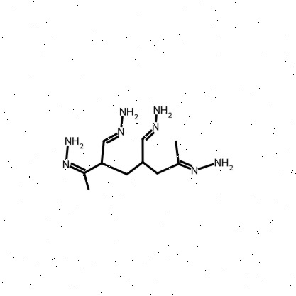 C/C(=N/N)C(/C=N/N)CC(/C=N/N)C/C(C)=N/N